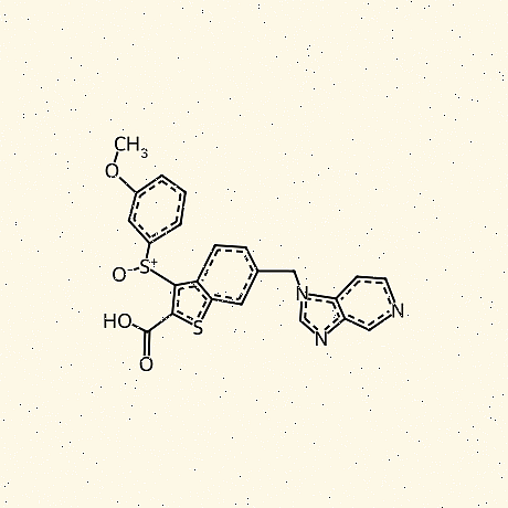 COc1cccc([S+]([O-])c2c(C(=O)O)sc3cc(Cn4cnc5cnccc54)ccc23)c1